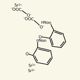 CCCCCCCCCc1ccccc1[O-].CCCCCCCCCc1ccccc1[O-].O=C([O-])[O-].O=C([O-])[O-].[Sr+2].[Sr+2].[Sr+2]